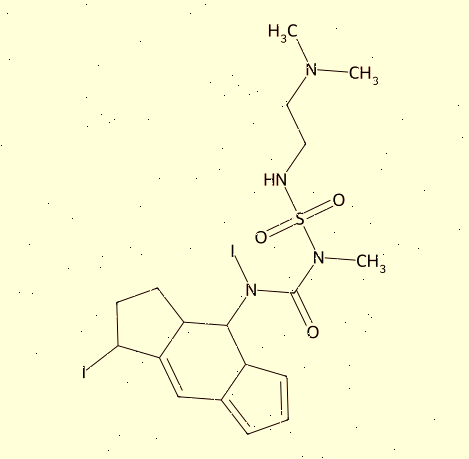 CN(C)CCNS(=O)(=O)N(C)C(=O)N(I)C1C2C=CC=C2C=C2C(I)CCC21